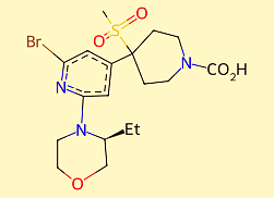 CC[C@H]1COCCN1c1cc(C2(S(C)(=O)=O)CCN(C(=O)O)CC2)cc(Br)n1